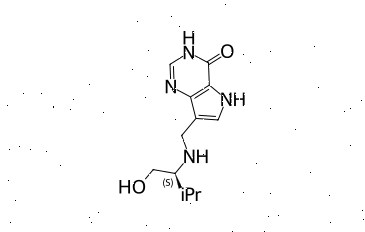 CC(C)[C@@H](CO)NCc1c[nH]c2c(=O)[nH]cnc12